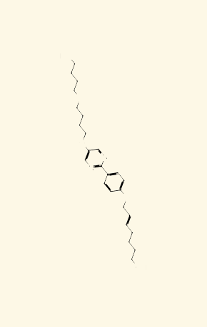 CCCCC/C=C/COc1ccc(-c2ncc(OCCCCOCCCCC)cn2)cc1